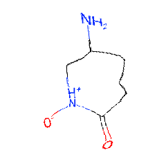 NC1CCC(=O)[NH+]([O-])C1